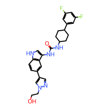 O=C(Nc1c[nH]c2ccc(-c3cnn(CCO)c3)cc12)NC1CCC(c2cc(F)cc(F)c2)CC1